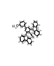 Cc1cccc(-c2cc(-n3c4ccccc4c4ccccc43)c(C#N)c(-n3c4ccccc4c4ccccc43)c2)n1